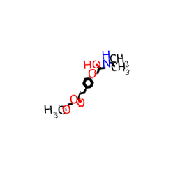 COCCOC(=O)CCc1ccc(OCC(O)CNC(C)C)cc1